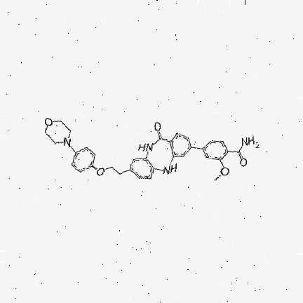 COc1cc(-c2ccc3c(c2)Nc2ccc(CCOc4ccc(N5CCOCC5)cc4)cc2NC3=O)ccc1C(N)=O